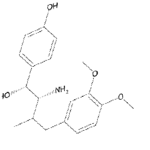 COc1ccc(CC(C)[C@@H](N)[C@H](O)c2ccc(O)cc2)cc1OC